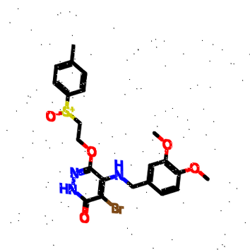 COc1ccc(CNc2c(OCC[S+]([O-])c3ccc(C)cc3)n[nH]c(=O)c2Br)cc1OC